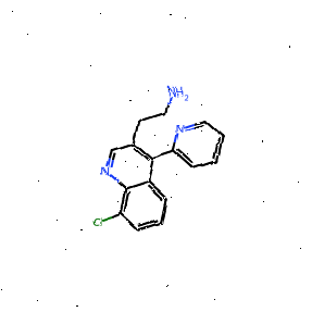 NCCc1cnc2c(Cl)cccc2c1-c1ccccn1